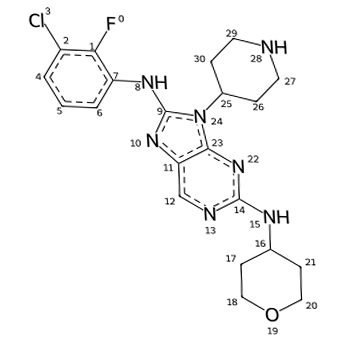 Fc1c(Cl)cccc1Nc1nc2cnc(NC3CCOCC3)nc2n1C1CCNCC1